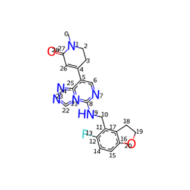 CN1CCC(c2cnc(NCc3c(F)ccc4c3CCO4)n3cnnc23)=CC1=O